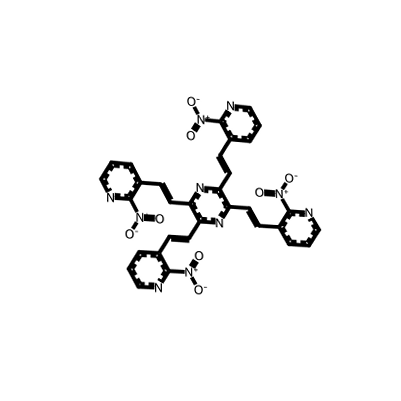 O=[N+]([O-])c1ncccc1C=Cc1nc(C=Cc2cccnc2[N+](=O)[O-])c(C=Cc2cccnc2[N+](=O)[O-])nc1C=Cc1cccnc1[N+](=O)[O-]